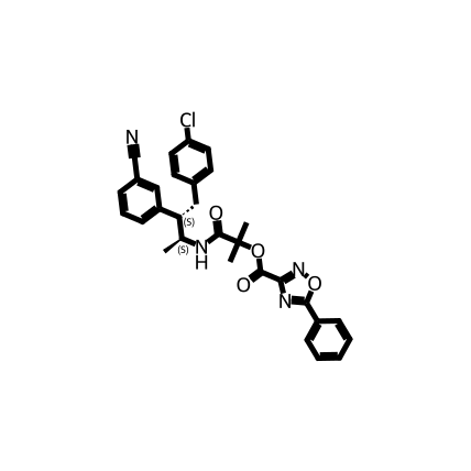 C[C@H](NC(=O)C(C)(C)OC(=O)c1noc(-c2ccccc2)n1)[C@@H](Cc1ccc(Cl)cc1)c1cccc(C#N)c1